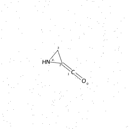 O=C=C1CN1